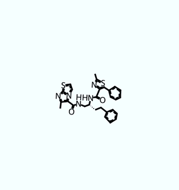 Cc1nc(C(=O)N[C@H](CCc2ccccc2)CNC(=O)c2c(C)nc3sccn23)c(-c2ccccc2)s1